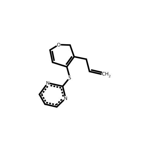 C=CCC1=C(Sc2ncccn2)C=COC1